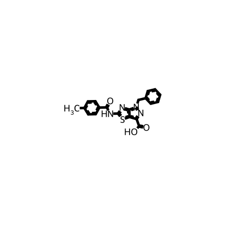 Cc1ccc(C(=O)Nc2nc3c(s2)c(C(=O)O)nn3Cc2ccccc2)cc1